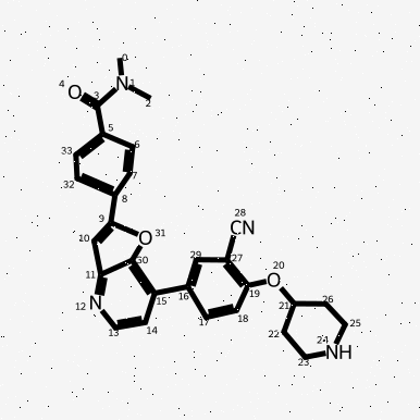 CN(C)C(=O)c1ccc(-c2cc3nccc(-c4ccc(OC5CCNCC5)c(C#N)c4)c3o2)cc1